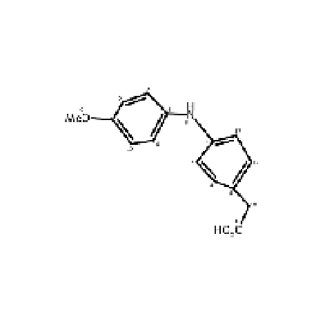 COc1ccc(Nc2ccc(CC(=O)O)cc2)cc1